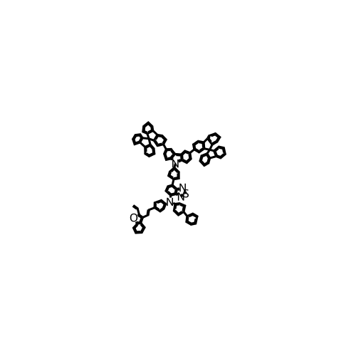 C=Cc1oc2ccccc2c1/C=C/c1ccc(N(c2ccc(-c3ccccc3)cc2)c2ccc(-c3ccc(-n4c5ccc(-c6ccc7c(c6)C6(c8ccccc8-c8ccccc86)c6ccccc6-7)cc5c5cc(-c6ccc7c(c6)C6(c8ccccc8-c8ccccc86)c6ccccc6-7)ccc54)cc3)c3nsnc23)cc1